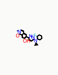 Cn1ccc2cc(-c3ccc(N(C4CC4)C4CCCCC4F)nn3)c(O)cc2c1=O